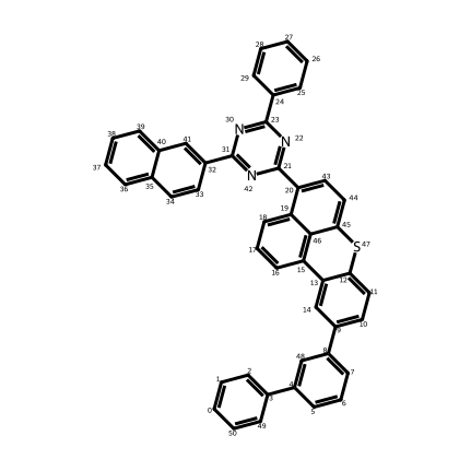 c1ccc(-c2cccc(-c3ccc4c(c3)-c3cccc5c(-c6nc(-c7ccccc7)nc(-c7ccc8ccccc8c7)n6)ccc(c35)S4)c2)cc1